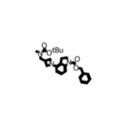 CN(CC1CN(c2cccc3c2CCN3C(=O)OCc2ccccc2)C1)C(=O)OC(C)(C)C